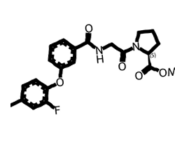 COC(=O)[C@@H]1CCCN1C(=O)CNC(=O)c1cccc(Oc2ccc(C)cc2F)c1